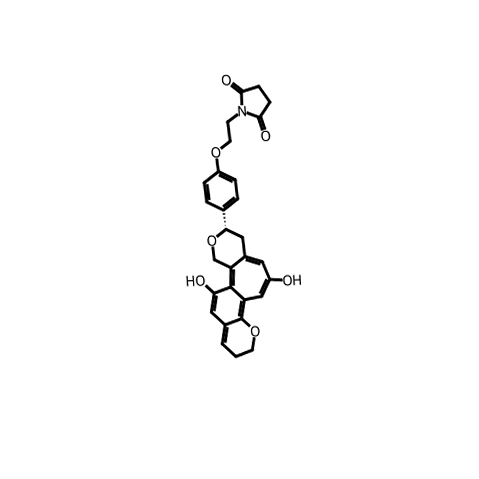 O=C1CCC(=O)N1CCOc1ccc([C@@H]2CC3=CC(O)=Cc4c5c(cc(O)c4=C3CO2)=CCCO5)cc1